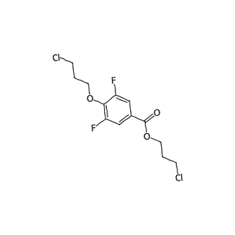 O=C(OCCCCl)c1cc(F)c(OCCCCl)c(F)c1